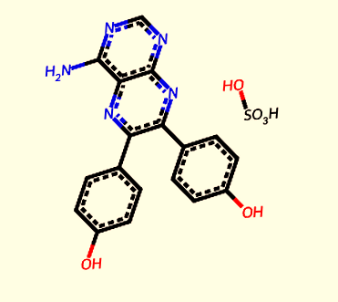 Nc1ncnc2nc(-c3ccc(O)cc3)c(-c3ccc(O)cc3)nc12.O=S(=O)(O)O